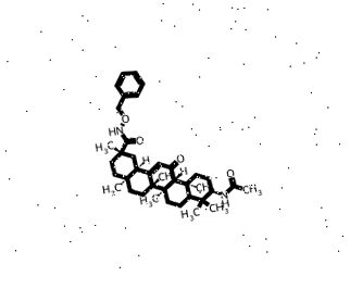 CC(=O)N[C@@H]1CC[C@@]2(C)C(CC[C@]3(C)[C@@H]2C(=O)C=C2[C@@H]4C[C@@](C)(C(=O)NOCc5ccccc5)CC[C@]4(C)CC[C@]23C)C1(C)C